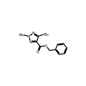 CC(C)(C)c1nn(C(C)(C)C)nc1C(=O)OCc1ccccc1